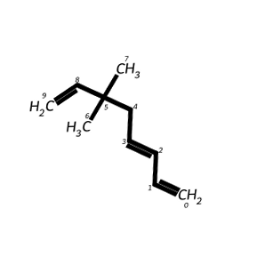 C=CC=CCC(C)(C)C=C